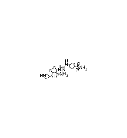 CNc1c(N[C@H]2CCNC2)ncnc1-n1nc(Nc2ccc(S(N)(=O)=O)cc2)nc1N